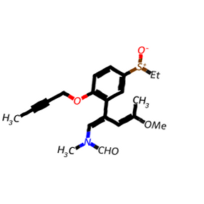 CC#CCOc1ccc([S+]([O-])CC)cc1C(/C=C(\C)OC)=C/N(C)C=O